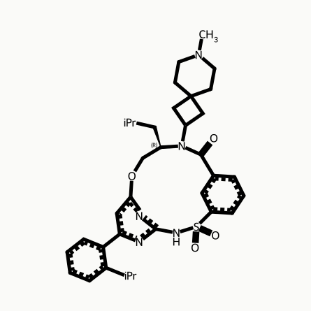 CC(C)C[C@@H]1COc2cc(-c3ccccc3C(C)C)nc(n2)NS(=O)(=O)c2cccc(c2)C(=O)N1C1CC2(CCN(C)CC2)C1